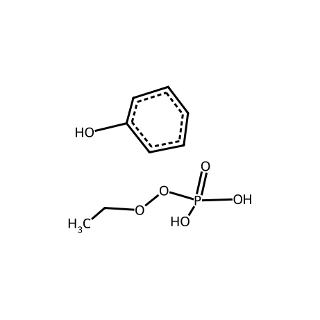 CCOOP(=O)(O)O.Oc1ccccc1